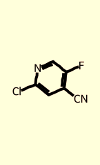 N#Cc1cc(Cl)ncc1F